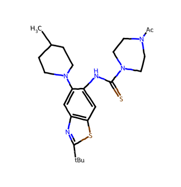 CC(=O)N1CCN(C(=S)Nc2cc3sc(C(C)(C)C)nc3cc2N2CCC(C)CC2)CC1